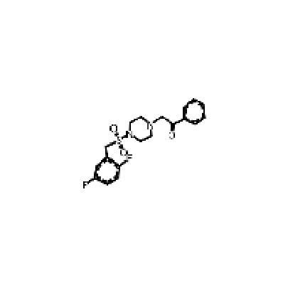 O=C(CN1CCN(S(=O)(=O)Cc2cc(F)ccc2F)CC1)c1ccccc1